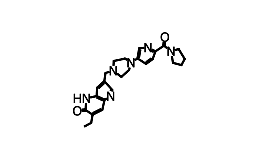 CCc1cc2ncc(CN3CCN(c4ccc(C(=O)N5CCCC5)nc4)CC3)cc2[nH]c1=O